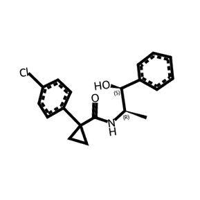 C[C@@H](NC(=O)C1(c2ccc(Cl)cc2)CC1)[C@@H](O)c1ccccc1